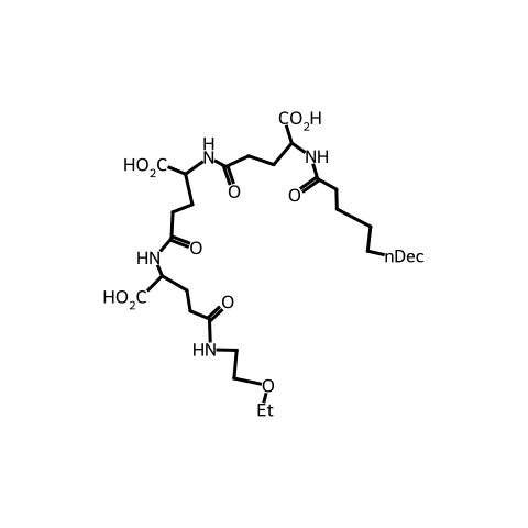 CCCCCCCCCCCCCCC(=O)NC(CCC(=O)NC(CCC(=O)NC(CCC(=O)NCCOCC)C(=O)O)C(=O)O)C(=O)O